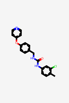 Cc1ccc(NC(=O)NCc2ccc(Oc3ccncc3)cc2)cc1Cl